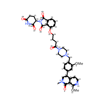 COc1cc(-c2cn(C)c(=O)c3c(OC)nccc23)ccc1CN1CCN(C(=O)CCCOc2cccc3c2C(=O)N(C2CCC(=O)NC2=O)C3=O)CC1